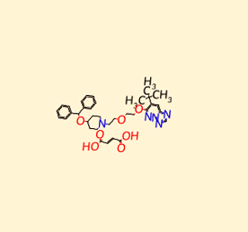 CC(C)(C)c1cc2ncnn2nc1OCCOCCN1CCC(OC(c2ccccc2)c2ccccc2)CC1.O=C(O)C=CC(=O)O